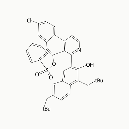 CC(C)(C)Cc1ccc2c(CC(C)(C)C)c(O)c(-c3nccc4c3c(OS(=O)(=O)c3ccccc3)cc3cc(Cl)ccc34)cc2c1